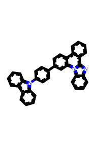 c1ccc2c(c1)nc1c3ccccc3c3ccc(-c4ccc(-n5c6ccccc6c6ccccc65)cc4)cc3n21